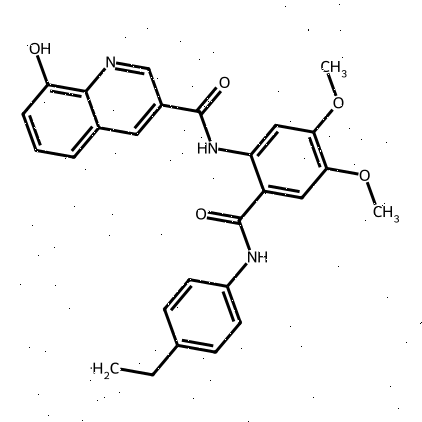 [CH2]Cc1ccc(NC(=O)c2cc(OC)c(OC)cc2NC(=O)c2cnc3c(O)cccc3c2)cc1